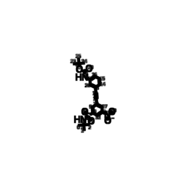 CC(C)(C)NS(=O)(=O)c1cc(C#Cc2cccc(NC(=O)OC(C)(C)C)c2)cc([N+](=O)[O-])c1